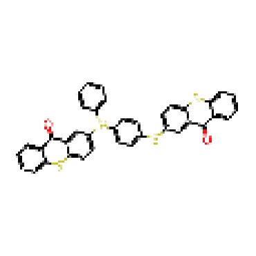 O=c1c2ccccc2sc2ccc(Sc3ccc([S+](c4ccccc4)c4ccc5sc6ccccc6c(=O)c5c4)cc3)cc12